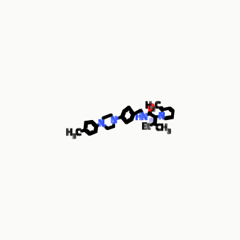 C=C1C=CC=CN1/C(C(=O)NCc1ccc(N2CCN(c3ccc(C)cc3)CC2)cc1)=C(\C)CC